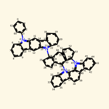 c1ccc(-n2c3ccccc3c3cc4c(cc32)c2ccccc2n4-c2cccc3c(-n4c5ccccc5c5ccc6c7ccccc7n(-c7ccccc7)c6c54)cccc23)cc1